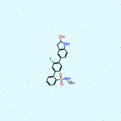 CC(C)(C)NS(=O)(=O)c1ccccc1-c1ccc(-c2ccc3c(c2)CC(O)N3)c(F)c1